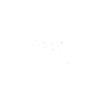 COc1ccc(-c2cc(NC(=O)c3ccc(C(C)(C)O)cc3)nc3cc(C)nn23)cc1Cl